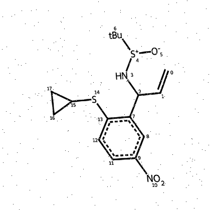 C=CC(N[S+]([O-])C(C)(C)C)c1cc([N+](=O)[O-])ccc1SC1CC1